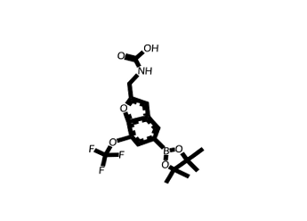 CC1(C)OB(c2cc(OC(F)(F)F)c3oc(CNC(=O)O)cc3c2)OC1(C)C